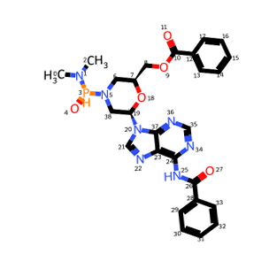 CN(C)[PH](=O)N1C[C@@H](COC(=O)c2ccccc2)O[C@@H](n2cnc3c(NC(=O)c4ccccc4)ncnc32)C1